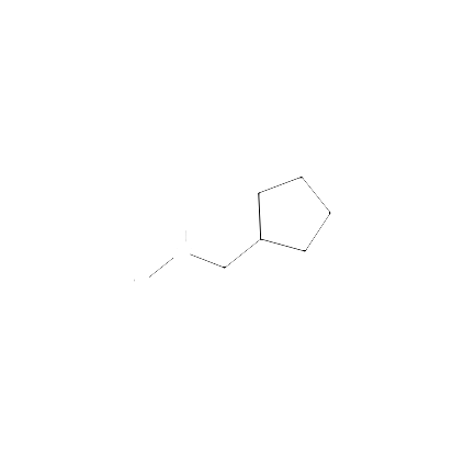 Cl[SiH2]CC1CCCC1